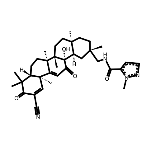 Cn1nccc1C(=O)NC[C@@]1(C)CC[C@]2(C)CC[C@@]3(C)[C@]4(C)CC[C@H]5C(C)(C)C(=O)C(C#N)=C[C@]5(C)C4=CC(=O)[C@]3(O)[C@@H]2C1